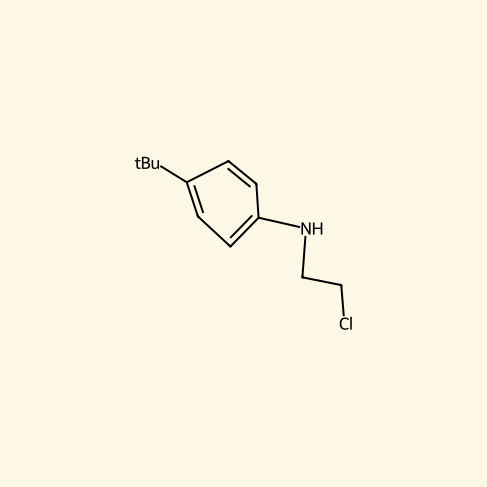 CC(C)(C)c1ccc(NCCCl)cc1